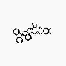 O=C(O)N1CC(SC(c2ccccc2)(c2ccccc2)c2ccccc2)CC1COCc1cc(F)c(F)cc1F